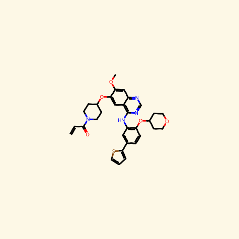 C=CC(=O)N1CCC(Oc2cc3c(Nc4cc(-c5cccs5)ccc4OC4CCOCC4)ncnc3cc2OC)CC1